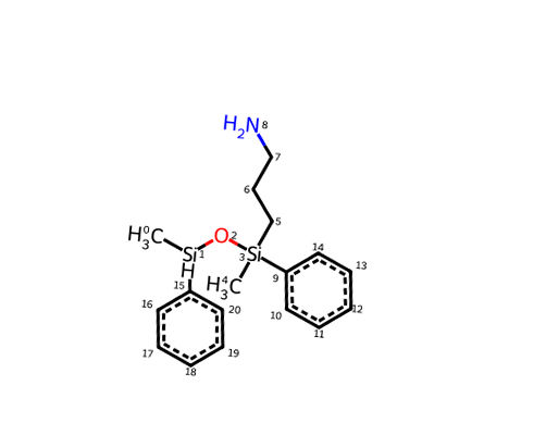 C[SiH](O[Si](C)(CCCN)c1ccccc1)c1ccccc1